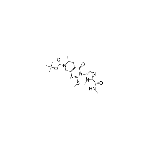 CNC(=O)c1ncc(-n2c(SC)nc3c(c2=O)C[C@@H](C)N(C(=O)OC(C)(C)C)C3)n1C